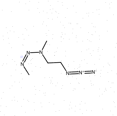 C/N=N\N(C)CCN=[N+]=[N-]